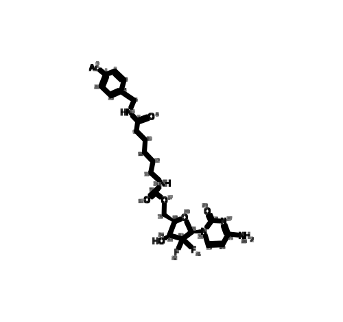 CC(=O)c1ccc(CNC(=O)CCCCCNC(=O)OC[C@H]2O[C@@H](n3ccc(N)nc3=O)C(F)(F)[C@H]2O)cc1